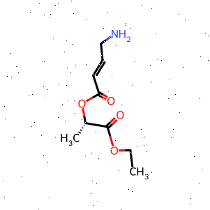 CCOC(=O)[C@H](C)OC(=O)/C=C/CN